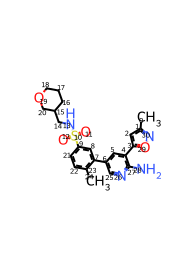 Cc1cc(-c2cc(-c3cc(S(=O)(=O)NCC4CCCOC4)ccc3C)cnc2N)on1